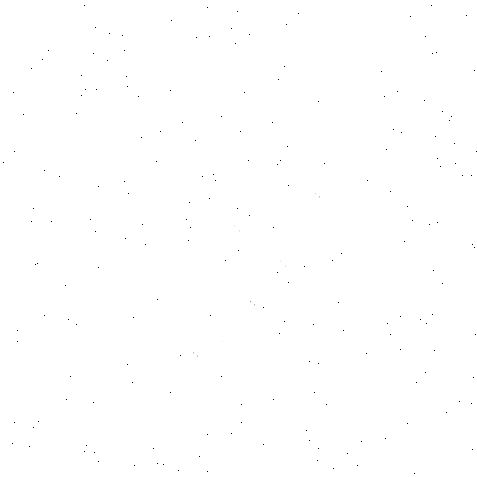 CCCOCCn1c(=O)c(NCC(=O)N(C)C)nc2cnc(Cl)cc21